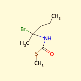 CCCC(C)(Br)NC(=O)SC